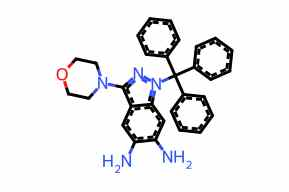 Nc1cc2c(N3CCOCC3)nn(C(c3ccccc3)(c3ccccc3)c3ccccc3)c2cc1N